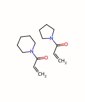 C=CC(=O)N1CCCC1.C=CC(=O)N1CCCCC1